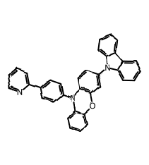 c1ccc(-c2ccc(N3c4ccccc4Oc4cc(-n5c6ccccc6c6ccccc65)ccc43)cc2)nc1